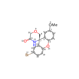 COc1ccc2c(c1)[C@]1(COCC(=O)N1)c1cc(Br)ccc1O2